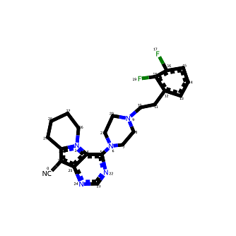 N#Cc1c2n(c3c(N4CCN(CCc5cccc(F)c5F)CC4)ncnc13)CCCC2